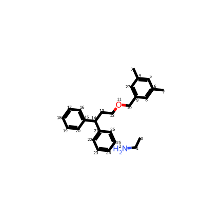 CCN.Cc1cc(C)cc(COCCC(c2ccccc2)c2ccccc2)c1